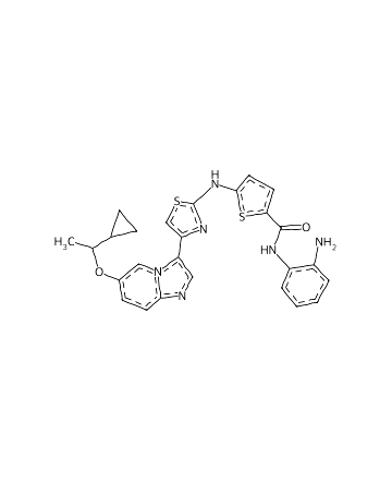 CC(Oc1ccc2ncc(-c3csc(Nc4ccc(C(=O)Nc5ccccc5N)s4)n3)n2c1)C1CC1